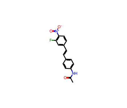 CC(=O)Nc1ccc(C=Cc2ccc([N+](=O)[O-])c(F)c2)cc1